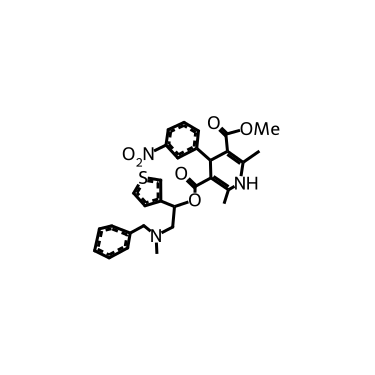 COC(=O)C1=C(C)NC(C)=C(C(=O)OC(CN(C)Cc2ccccc2)c2ccsc2)C1c1cccc([N+](=O)[O-])c1